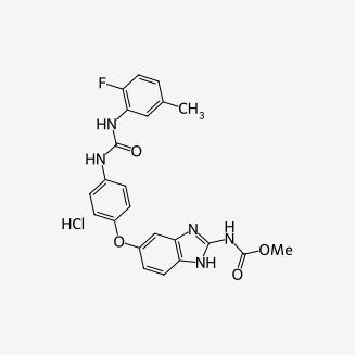 COC(=O)Nc1nc2cc(Oc3ccc(NC(=O)Nc4cc(C)ccc4F)cc3)ccc2[nH]1.Cl